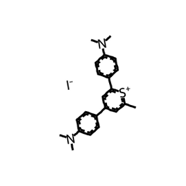 Cc1cc(-c2ccc(N(C)C)cc2)cc(-c2ccc(N(C)C)cc2)[s+]1.[I-]